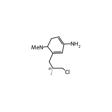 CNC1CC=C(N)C=C1C[C@@H](C)CCl